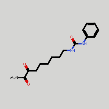 CNC(=O)C(=O)CCCCCCNC(=O)Nc1ccccc1